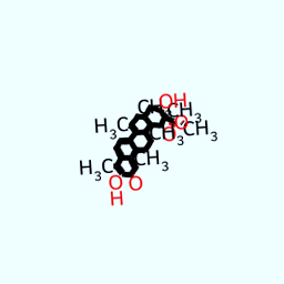 COC(=O)C1(C)CC2C(C)(CC(C)=C3C4=CC=C5C(=CC(=O)C(O)=C5C)C4(C)CCC32C)CC1O